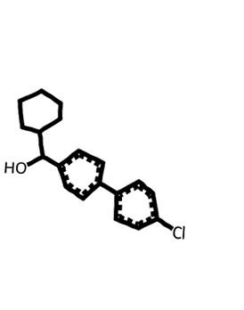 OC(c1ccc(-c2ccc(Cl)cc2)cc1)C1CCCCC1